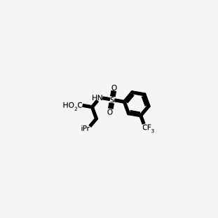 CC(C)CC(NS(=O)(=O)c1cccc(C(F)(F)F)c1)C(=O)O